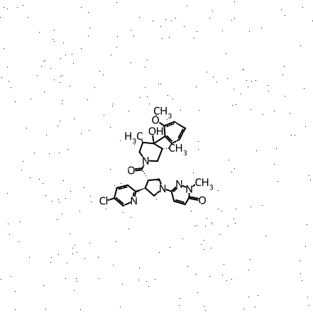 COc1ccccc1C1(O)[C@H](C)CN(C(=O)[C@@H]2CN(c3ccc(=O)n(C)n3)C[C@H]2c2ccc(Cl)cn2)C[C@@H]1C